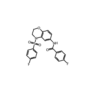 O=C(Nc1ccc2c(c1)N(S(=O)(=O)c1ccc(F)cc1)CCO2)c1ccc(F)cc1